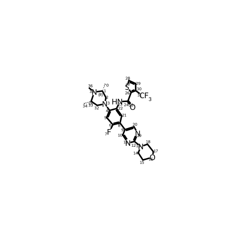 C[C@@H]1CN(c2cc(F)c(-c3cnc(N4CCOCC4)nc3)cc2NC(=O)c2sccc2C(F)(F)F)C[C@H](C)N1C